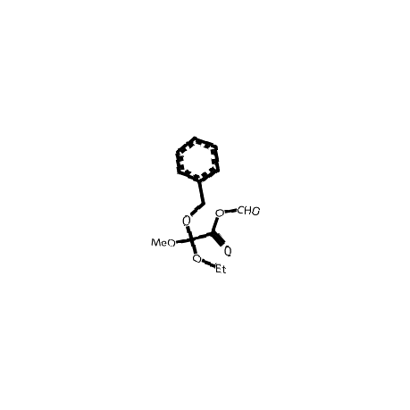 CCOC(OC)(OCc1ccccc1)C(=O)OC=O